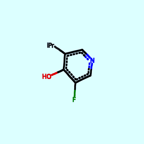 CC(C)c1cncc(F)c1O